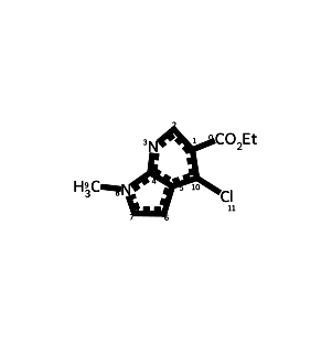 CCOC(=O)c1cnc2c(ccn2C)c1Cl